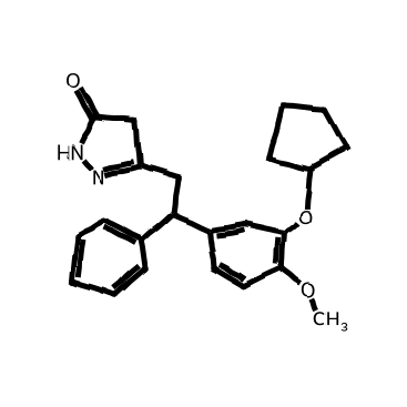 COc1ccc(C(CC2=NNC(=O)C2)c2ccccc2)cc1OC1CCCC1